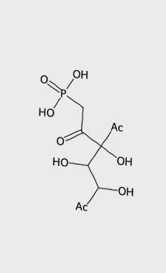 CC(=O)C(O)C(O)C(O)(C(C)=O)C(=O)CP(=O)(O)O